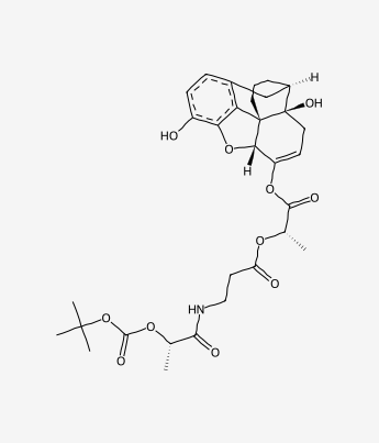 C[C@H](OC(=O)OC(C)(C)C)C(=O)NCCC(=O)O[C@@H](C)C(=O)OC1=CC[C@@]2(O)[C@@H]3CCC[C@@]24c2c(ccc(O)c2O[C@@H]14)C3